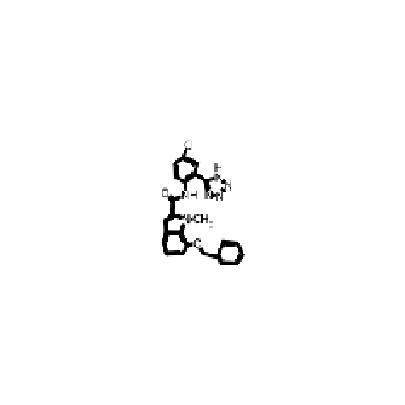 Cn1c(C(=O)Nc2ccc(Cl)cc2-c2nnn[nH]2)cc2cccc(OCc3ccccc3)c21